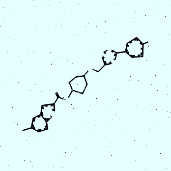 O=C(NC1CCC(NCc2nnc(-c3ccc(Cl)cc3)o2)CC1)c1cc2cc(Cl)ccc2o1